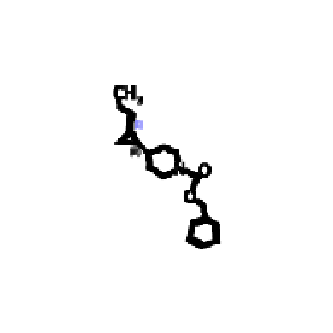 CC/C=C1\C[C@@H]1C1CCN(C(=O)OCc2ccccc2)CC1